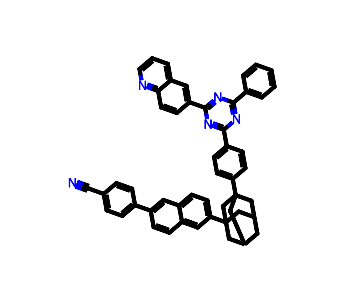 N#Cc1ccc(-c2ccc3cc(C45CC6CC(CC(c7ccc(-c8nc(-c9ccccc9)nc(-c9ccc%10ncccc%10c9)n8)cc7)(C6)C4)C5)ccc3c2)cc1